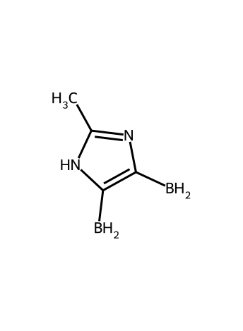 Bc1nc(C)[nH]c1B